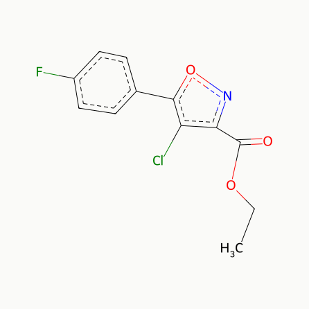 CCOC(=O)c1noc(-c2ccc(F)cc2)c1Cl